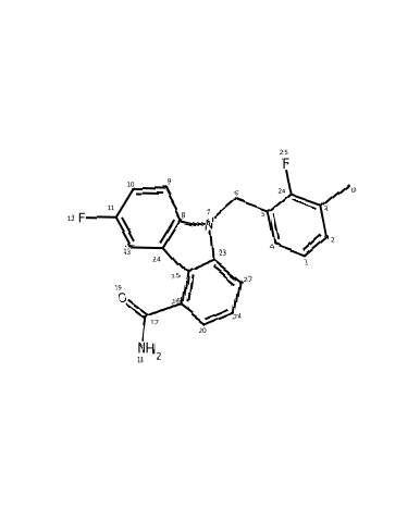 Cc1cccc(Cn2c3ccc(F)[c]c3c3c(C(N)=O)cccc32)c1F